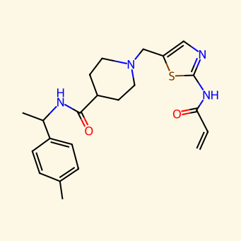 C=CC(=O)Nc1ncc(CN2CCC(C(=O)NC(C)c3ccc(C)cc3)CC2)s1